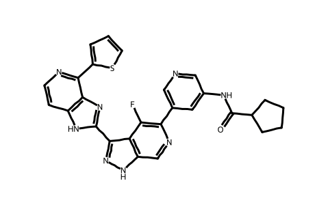 O=C(Nc1cncc(-c2ncc3[nH]nc(-c4nc5c(-c6cccs6)nccc5[nH]4)c3c2F)c1)C1CCCC1